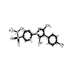 Cc1nn(-c2ccc(S(=N)(=O)N(C)C)cn2)c(O)c1-c1ccc(C#N)cc1